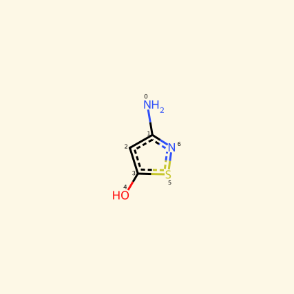 Nc1cc(O)sn1